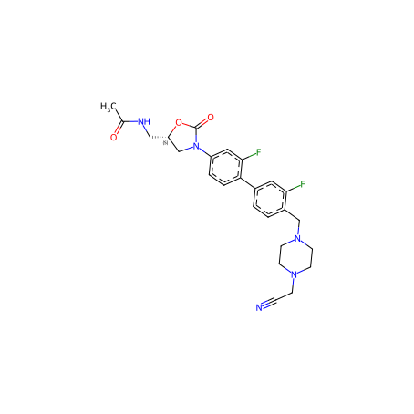 CC(=O)NC[C@H]1CN(c2ccc(-c3ccc(CN4CCN(CC#N)CC4)c(F)c3)c(F)c2)C(=O)O1